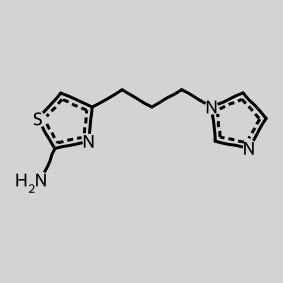 Nc1nc(CCCn2ccnc2)cs1